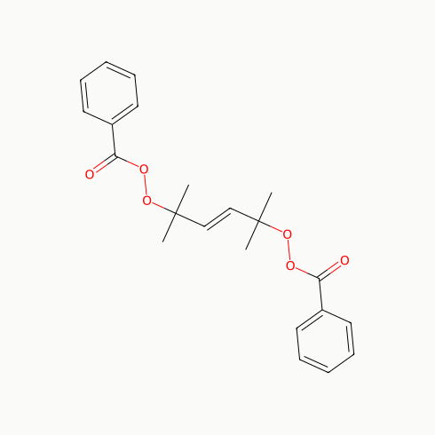 CC(C)(C=CC(C)(C)OOC(=O)c1ccccc1)OOC(=O)c1ccccc1